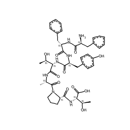 C[C@H](NC(=O)[C@@H](NC(=O)[C@H](Cc1ccc(O)cc1)NC(=O)[C@H](Cc1ccccc1)NC(=O)[C@@H](N)Cc1ccccc1)[C@@H](C)O)C(=O)N1CCC[C@H]1C(=O)N[C@H](C(=O)O)[C@@H](C)O